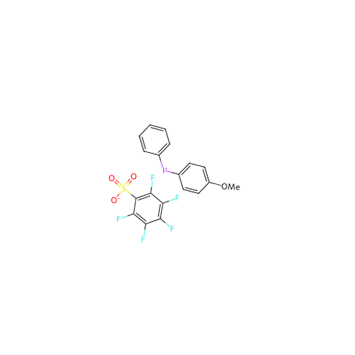 COc1ccc([I+]c2ccccc2)cc1.O=S(=O)([O-])c1c(F)c(F)c(F)c(F)c1F